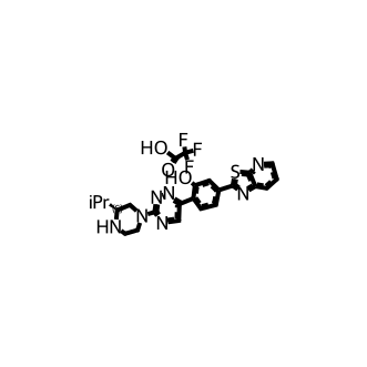 CC(C)[C@H]1CN(c2ncc(-c3ccc(-c4nc5cccnc5s4)cc3O)nn2)CCN1.O=C(O)C(F)(F)F